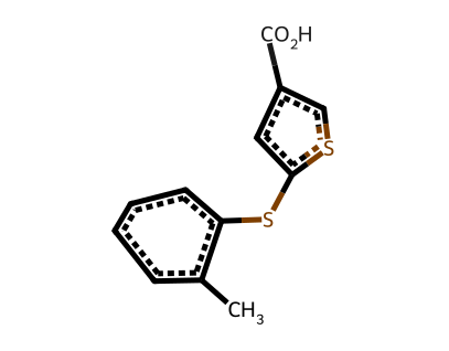 Cc1ccccc1Sc1cc(C(=O)O)cs1